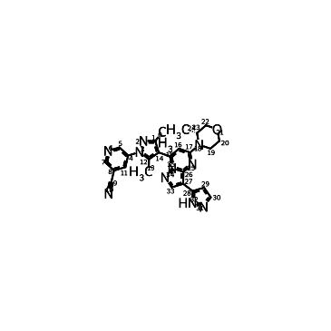 Cc1nn(-c2cncc(C#N)c2)c(C)c1-c1cc(N2CCOC[C@H]2C)nc2c(-c3ccn[nH]3)cnn12